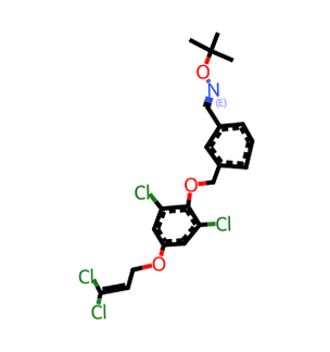 CC(C)(C)O/N=C/c1cccc(COc2c(Cl)cc(OCC=C(Cl)Cl)cc2Cl)c1